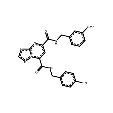 COc1cccc(CNC(=O)c2cc(C(=O)NCc3ccc(C#N)cc3)n3ncnc3n2)c1